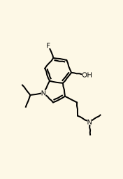 CC(C)n1cc(CCN(C)C)c2c(O)cc(F)cc21